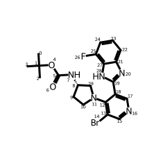 CC(C)(C)OC(=O)N[C@H]1CCN(c2c(Br)cncc2-c2nc3cccc(F)c3[nH]2)C1